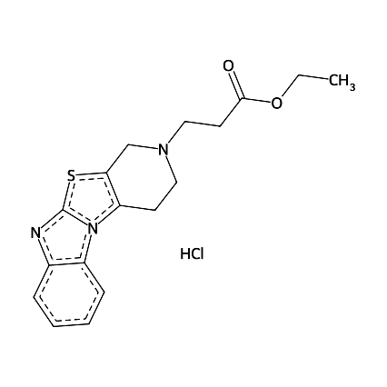 CCOC(=O)CCN1CCc2c(sc3nc4ccccc4n23)C1.Cl